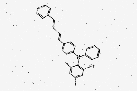 CCc1cc(C)cc(C)c1N(c1ccccc1)c1ccc(/C=C/C=C/c2ccccc2)cc1